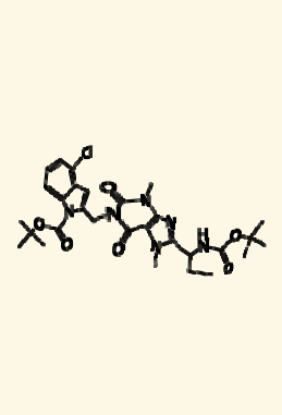 CCC(NC(=O)OC(C)(C)C)c1nc2c(c(=O)n(Cc3cc4c(Cl)cccc4n3C(=O)OC(C)(C)C)c(=O)n2C)n1C